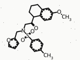 COc1ccc2c(c1)CCCC2C(=O)CN(Cc1ccco1)S(=O)(=O)c1ccc(C)cc1